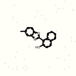 Cc1ccc2oc(-c3c(O)ccc4ccccc34)nc2c1